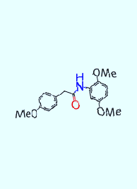 COc1ccc(CC(=O)Nc2cc(OC)ccc2OC)cc1